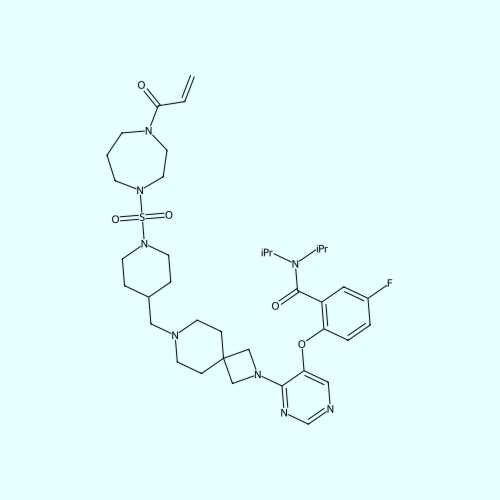 C=CC(=O)N1CCCN(S(=O)(=O)N2CCC(CN3CCC4(CC3)CN(c3ncncc3Oc3ccc(F)cc3C(=O)N(C(C)C)C(C)C)C4)CC2)CC1